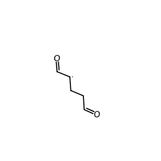 O=C[CH]CCC=O